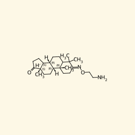 CC1(C)C(=NOCCN)CC[C@@]2(C)C1CC[C@@H]1[C@H]2CC[C@]2(C)C(=O)CC[C@@H]12